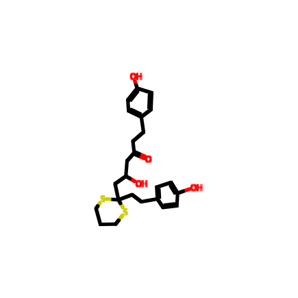 O=C(CCc1ccc(O)cc1)CC(O)CC1(CCc2ccc(O)cc2)SCCCS1